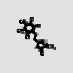 Cn1[nH]c(CSc2c(Cl)c(Cl)c(Cl)c(Cl)c2Cl)cc1=O